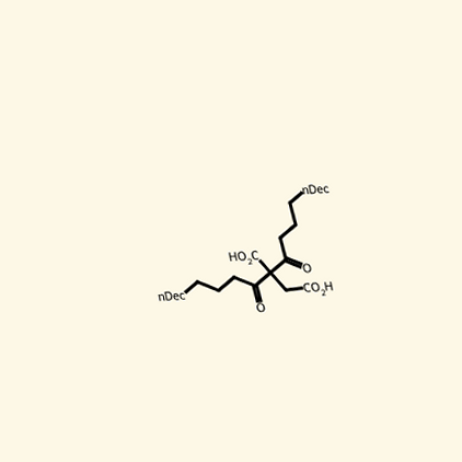 CCCCCCCCCCCCCC(=O)C(CC(=O)O)(C(=O)O)C(=O)CCCCCCCCCCCCC